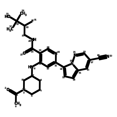 CC(=O)N1CCCC(Nc2cc(-c3ccc4cc(C#N)cnn34)ncc2C(=O)NCC(F)C(C)(C)O)C1